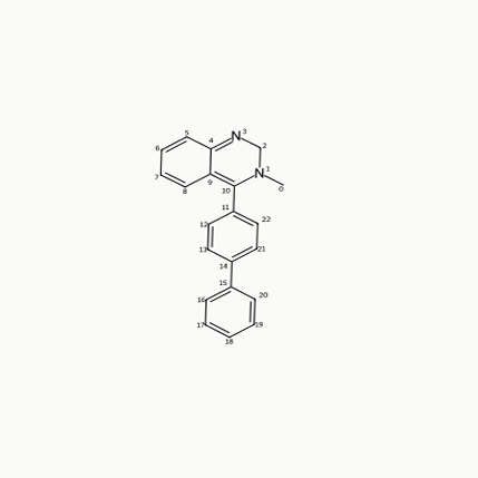 CN1CN=c2ccccc2=C1c1ccc(-c2ccccc2)cc1